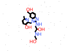 Cc1ccc(O)c(Cn2c(NCC(O)CNCCO)nc3ccc(CO)cc32)n1